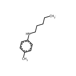 [CH2]CCCCNc1ccc(C)cc1